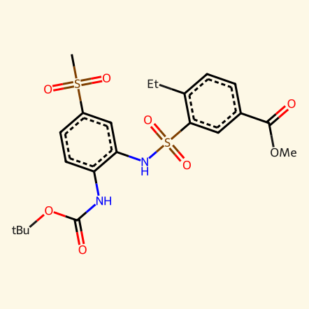 CCc1ccc(C(=O)OC)cc1S(=O)(=O)Nc1cc(S(C)(=O)=O)ccc1NC(=O)OC(C)(C)C